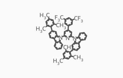 Cc1cc(C)c(-c2ccc3c4ccccc4n(-c4cc(-c5cc(C(F)(F)F)cc(C(F)(F)F)c5)cc(-n5c6ccccc6c6ccc(-c7c(C)cc(C)cc7C)cc65)n4)c3c2)c(C)c1